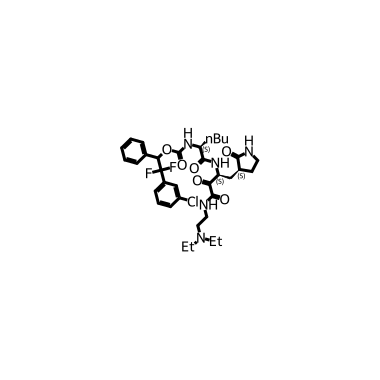 CCCC[C@H](NC(=O)OC(c1ccccc1)C(F)(F)c1cccc(Cl)c1)C(=O)N[C@@H](C[C@@H]1CCNC1=O)C(=O)C(=O)NCCN(CC)CC